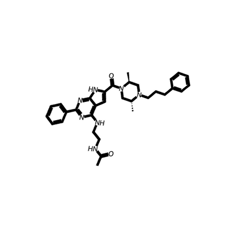 CC(=O)NCCNc1nc(-c2ccccc2)nc2[nH]c(C(=O)N3C[C@@H](C)N(CCCc4ccccc4)C[C@@H]3C)cc12